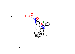 C[C@H](c1ccc(C(=O)NCCC(=O)O)cc1)N1C(=O)C(c2ccccc2F)=NC12CCC(C(C)(C)C)CC2